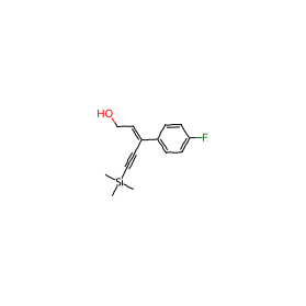 C[Si](C)(C)C#CC(=CCO)c1ccc(F)cc1